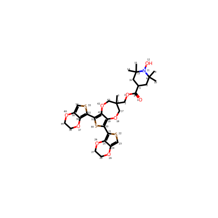 CC1(COC(=O)C2CC(C)(C)N(O)C(C)(C)C2)COc2c(-c3scc4c3OCCO4)sc(-c3scc4c3OCCO4)c2OC1